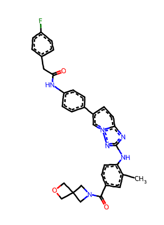 Cc1cc(C(=O)N2CC3(COC3)C2)ccc1Nc1nc2ccc(-c3ccc(NC(=O)Cc4ccc(F)cc4)cc3)cn2n1